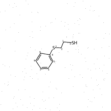 SCCSc1ccccc1